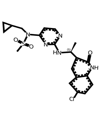 C[C@H](Nc1nccc(N(CC2CC2)S(C)(=O)=O)n1)c1cc2cc(Cl)ccc2[nH]c1=O